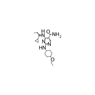 CCO[C@H]1CC[C@H](Nc2ncc(C(N)=O)c(N[C@H](CC)C3CC3)n2)CC1